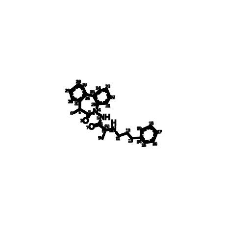 CC1C(=O)N(NC(=O)[C@H](C)NCCCc2ccccc2)c2ccccc2-c2ccccc21